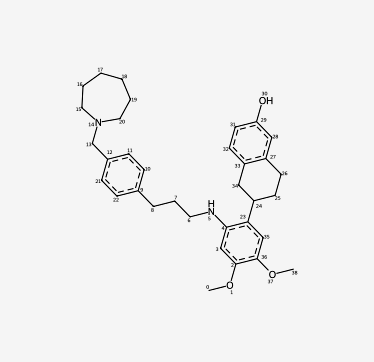 COc1cc(NCCCc2ccc(CN3CCCCCC3)cc2)c(C2CCc3cc(O)ccc3C2)cc1OC